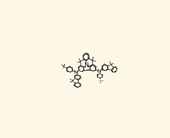 CC(C)(C)c1ccc(N(c2ccc3c(c2)-c2ccccc2C3(C)C)c2cc3c4c(c2)c2cc(N(c5ccc(C(C)(C)C)cc5)c5ccc6c(c5)C(C)(C)c5ccccc5-6)cc5c2n4-c2c(cccc2C5(C)C)C3(C)C)cc1